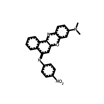 CN(C)c1ccc2nc3c4ccccc4c(=Nc4ccc([N+](=O)[O-])cc4)cc-3oc2c1